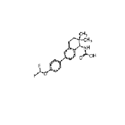 CC1(C)CCc2cc(-c3ccc(OC(F)F)cc3)ccc2C1NC(=O)O